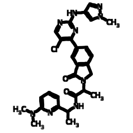 CC(NC(=O)C(C)N1Cc2ccc(-c3nc(Nc4cnn(C)c4)ncc3Cl)cc2C1=O)c1cccc(N(C)C)n1